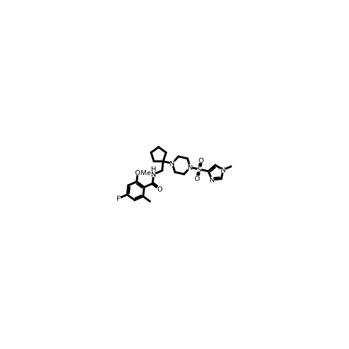 COc1cc(F)cc(C)c1C(=O)NCC1(N2CCN(S(=O)(=O)c3cn(C)cn3)CC2)CCCC1